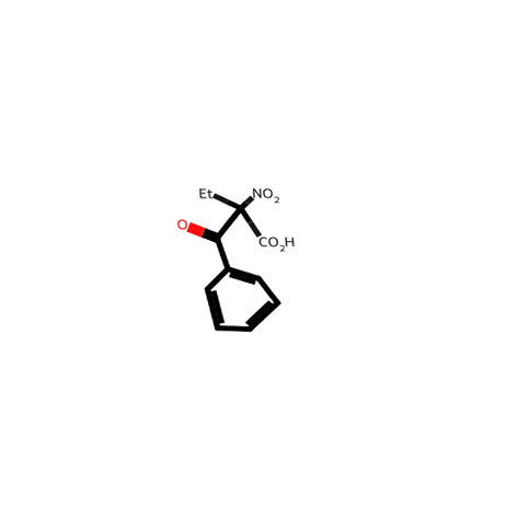 CCC(C(=O)O)(C(=O)c1ccccc1)[N+](=O)[O-]